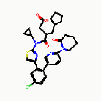 O=C(O)CC(CC1CCCC1)C(=O)N(c1nc(-c2cc(Cl)ccc2-c2ccc(N3CCCCC3=O)nc2)cs1)C1CC1